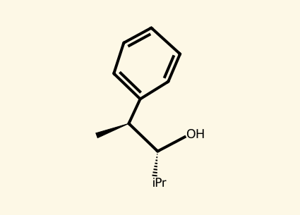 CC(C)[C@@H](O)[C@@H](C)c1ccccc1